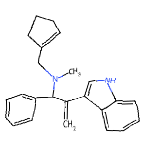 C=C(c1c[nH]c2ccccc12)C(c1ccccc1)N(C)CC1=CCCC1